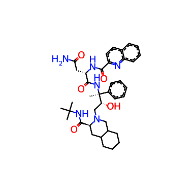 CC(C)(C)NC(=O)[C@@H]1CC2CCCCC2CN1C[C@@H](O)[C@@](C)(NC(=O)[C@H](CC(N)=O)NC(=O)c1ccc2ccccc2n1)c1ccccc1